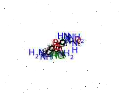 CC(=O)NCCN(C(=N)N)c1ccc(C(=O)Oc2ccc3cc(C(=N)N)ccc3c2CC(N)=O)cc1.Cl.Cl